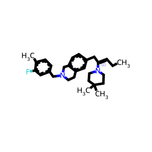 CC/C=C(/Cc1ccc2c(c1)CCN(Cc1ccc(C)c(F)c1)C2)N1CCC(C)(C)CC1